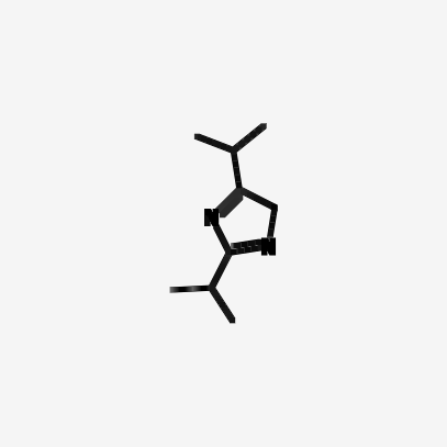 CC(C)C1=NC(C(C)C)=NC1